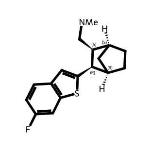 CNC[C@H]1[C@H]2CC[C@H](C2)[C@H]1c1cc2ccc(F)cc2s1